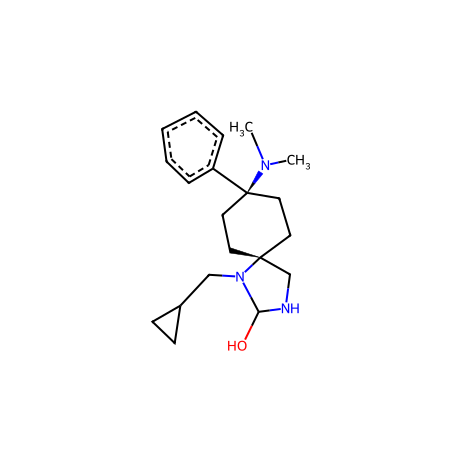 CN(C)[C@]1(c2ccccc2)CC[C@@]2(CC1)CNC(O)N2CC1CC1